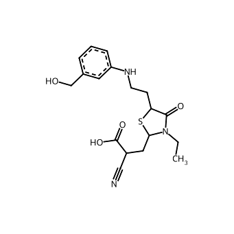 CCN1C(=O)C(CCNc2cccc(CO)c2)SC1CC(C#N)C(=O)O